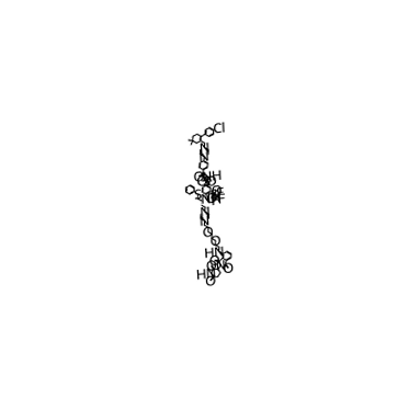 CC1(C)CCC(c2ccc(Cl)cc2)=C(CN2CCN(c3ccc(C(=O)NS(=O)(=O)c4ccc(N[C@H](CCN5CCN(CCOCCOCCNc6cccc7c6C(=O)N(C6CCC(=O)NC6=O)C7=O)CC5)CSc5ccccc5)c(S(=O)(=O)C(F)(F)F)c4)cc3)CC2)C1